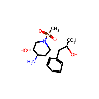 CS(=O)(=O)N1CC[C@@H](N)[C@H](O)C1.O=C(O)[C@@H](O)Cc1ccccc1